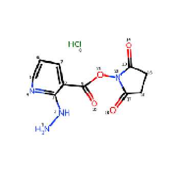 Cl.NNc1ncccc1C(=O)ON1C(=O)CCC1=O